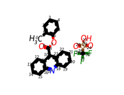 Cc1ccccc1OC(=O)c1c2ccccc2nc2ccccc12.O=S(=O)(O)C(F)(F)F